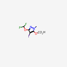 Cn1nc(OC(F)F)c(I)c1OC(=O)O